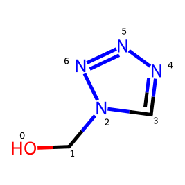 OCn1cnnn1